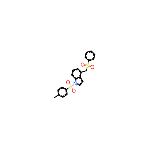 Cc1ccc(S(=O)(=O)n2ccc3c(CS(=O)(=O)c4ccccc4)cccc32)cc1